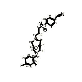 N#Cc1ccc(S(=O)(=O)CCCN2CC3CN(Cc4ccc(F)cc4F)CC(C2)O3)cc1